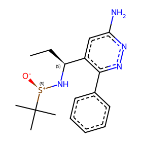 CC[C@H](N[S@+]([O-])C(C)(C)C)c1cc(N)nnc1-c1ccccc1